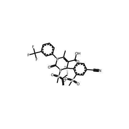 C=CC[C@@]1(c2ccc(C#N)cc2S(C)(=O)=O)C(C(=O)O)=C(C)N(c2cccc(C(F)(F)F)c2)C(=O)N1S(C)(=O)=O